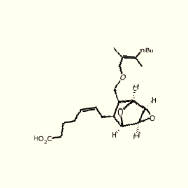 CCCCC(C)=C(C)COC[C@@H]1[C@H](C/C=C\CCCC(=O)O)[C@H]2O[C@@H]1[C@H]1O[C@H]12